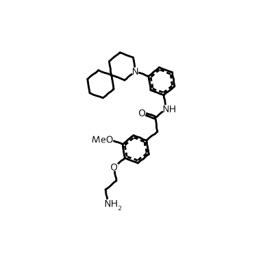 COc1cc(CC(=O)Nc2cccc(N3CCCC4(CCCCC4)C3)c2)ccc1OCCN